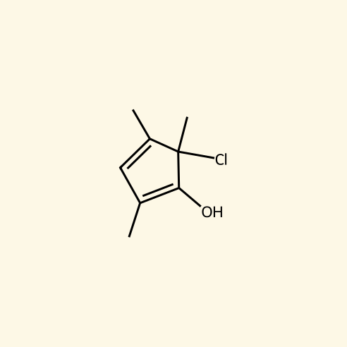 CC1=CC(C)=C(O)C1(C)Cl